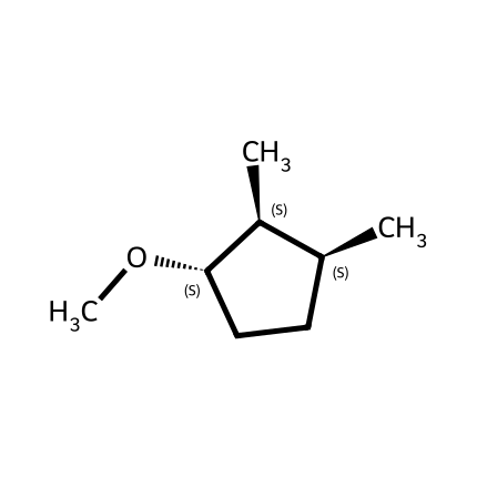 CO[C@H]1CC[C@H](C)[C@@H]1C